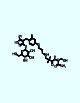 Cc1cc(OCCCNCC(C)(C)C(=O)N[C@@H](CO)C(N)=O)ccc1Cc1c(OC2OC(CO)[C@@H](O)C(O)[C@H]2O)n[nH]c1C(C)C